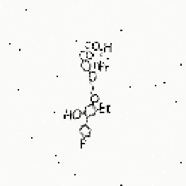 CCCc1c(OCCCOc2cc(O)c(-c3ccc(F)cc3)cc2CC)ccc2c1OC(C(=O)O)CC2